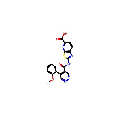 COc1ccccc1-c1cnncc1C(=O)Nc1nc2ccc(C(=O)O)nc2s1